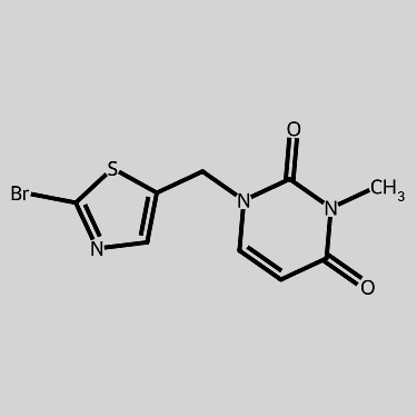 Cn1c(=O)ccn(Cc2cnc(Br)s2)c1=O